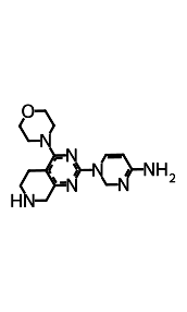 NC1=NCN(c2nc3c(c(N4CCOCC4)n2)CCNC3)C=C1